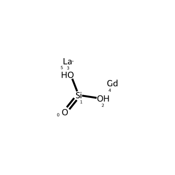 O=[Si](O)O.[Gd].[La]